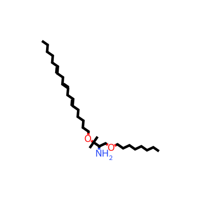 CCCCCC=CCC=CCC=CCCCCCOC(C)(C)C(N)COCCCCCCCC